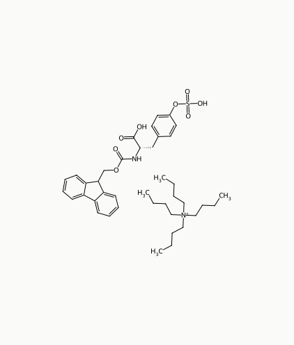 CCCC[N+](CCCC)(CCCC)CCCC.O=C(N[C@@H](Cc1ccc(OS(=O)(=O)O)cc1)C(=O)O)OCC1c2ccccc2-c2ccccc21